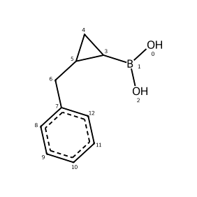 OB(O)C1CC1Cc1ccccc1